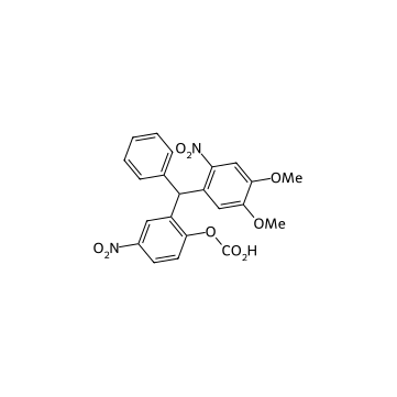 COc1cc(C(c2ccccc2)c2cc([N+](=O)[O-])ccc2OC(=O)O)c([N+](=O)[O-])cc1OC